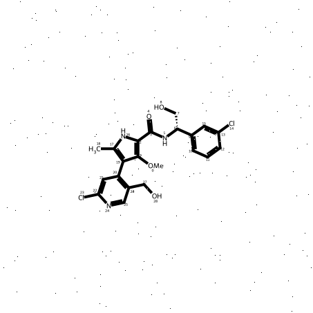 COc1c(C(=O)N[C@H](CO)c2cccc(Cl)c2)[nH]c(C)c1-c1cc(Cl)ncc1CO